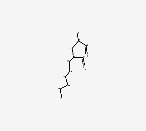 [CH2]C(C=O)CC(C=O)CCCCCC